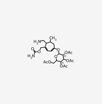 CC(=O)OCC1OC(OC2=CC=C(COC(N)=O)C(CN)C(C)C2)[C@@H](OC(C)=O)C(OC(C)=O)[C@H]1OC(C)=O